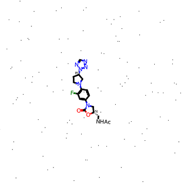 CC(=O)NC[C@H]1CN(c2ccc(N3CC[C@@H](n4ncnn4)C3)c(F)c2)C(=O)O1